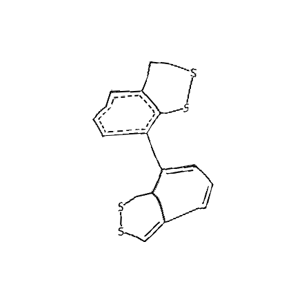 C1=CC2=CSSC2C(c2cccc3c2SSC3)=C1